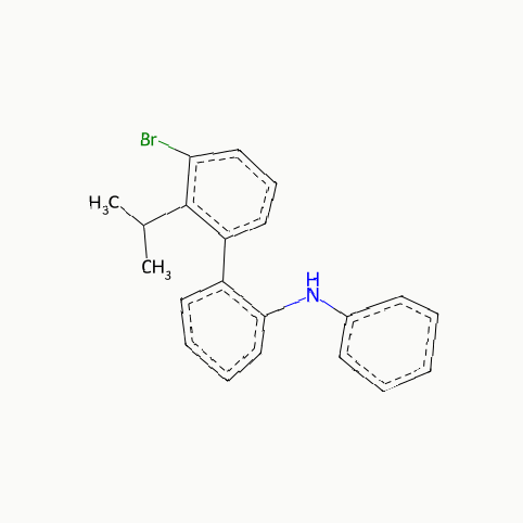 CC(C)c1c(Br)cccc1-c1ccccc1Nc1ccccc1